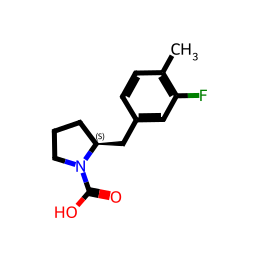 Cc1ccc(C[C@@H]2CCCN2C(=O)O)cc1F